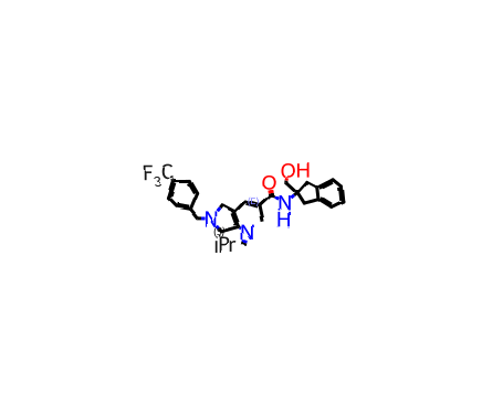 C=NC1=C(/C=C(\C)C(=O)NC2(CO)Cc3ccccc3C2)CN(Cc2ccc(C(F)(F)F)cc2)[C@H]1C(C)C